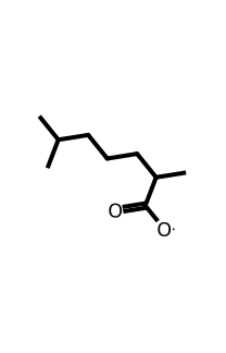 CC(C)CCCC(C)C([O])=O